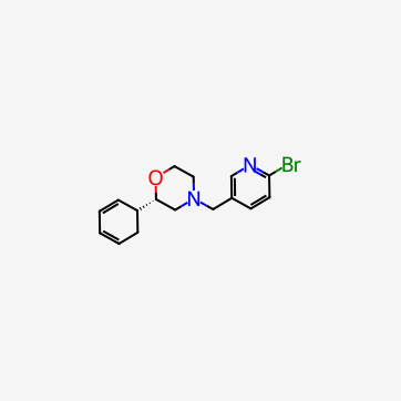 Brc1ccc(CN2CCO[C@@H](C3C=CC=CC3)C2)cn1